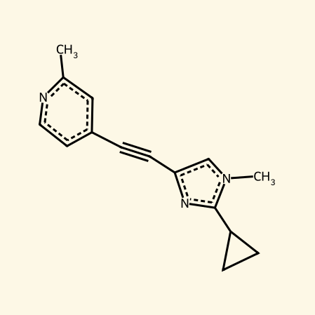 Cc1cc(C#Cc2cn(C)c(C3CC3)n2)ccn1